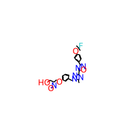 Cc1nc(-c2nc(-c3ccc(OC(C)(C)F)cc3)no2)nn1Cc1cccc(OCC(CO)N=O)c1